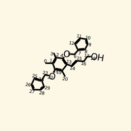 Cc1c(C)c(OCc2ccccc2)c(C=CCCO)c(C)c1OCc1ccccc1